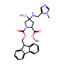 Cn1cncc1CNC1(C(=O)O)CC(C(=O)OC(C)(C)C)N(C(=O)OCC2c3ccccc3-c3ccccc32)C1